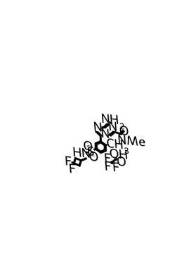 CNC(=O)c1cn2c(-c3cc(S(=O)(=O)NCC4CC(F)(F)C4)ccc3C)cnc2c(N)n1.O=C(O)C(F)(F)F